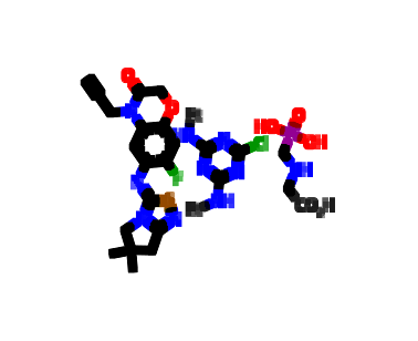 C#CCN1C(=O)COc2cc(F)c(/N=c3\snc4n3CC(C)(C)C4)cc21.CCNc1nc(Cl)nc(NCC)n1.O=C(O)CNCP(=O)(O)O